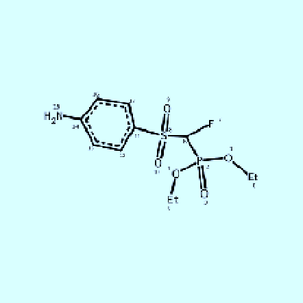 CCOP(=O)(OCC)C(F)S(=O)(=O)c1ccc(N)cc1